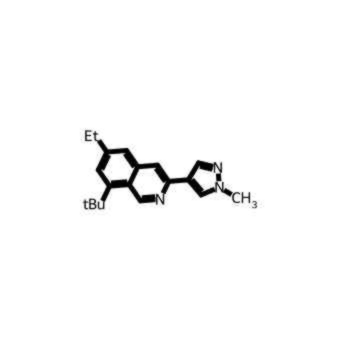 CCc1cc(C(C)(C)C)c2cnc(-c3cnn(C)c3)cc2c1